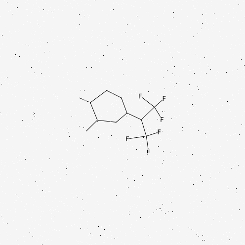 CC1CCC(C(C(F)(F)F)C(F)(F)F)CC1C